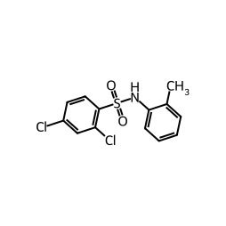 Cc1ccccc1NS(=O)(=O)c1ccc(Cl)cc1Cl